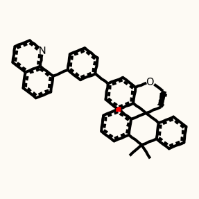 CC1(C)c2ccccc2C2(c3ccccc3Oc3cc(-c4cccc(-c5cccc6cccnc56)c4)ccc32)c2ccccc21